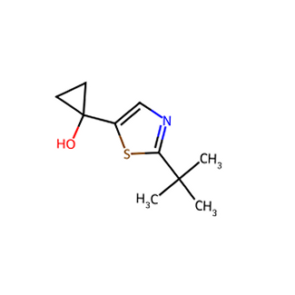 CC(C)(C)c1ncc(C2(O)CC2)s1